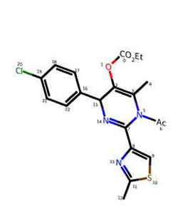 CCOC(=O)OC1=C(C)N(C(C)=O)C(c2csc(C)n2)=NC1c1ccc(Cl)cc1